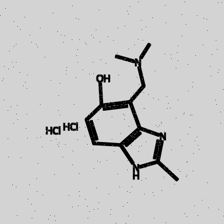 Cc1nc2c(CN(C)C)c(O)ccc2[nH]1.Cl.Cl